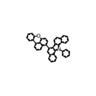 c1ccc(-n2c3c4ccccc4ccc3c3c(-c4ccc5c6c(cccc46)-c4ccccc4O5)cc4ccccc4c32)cc1